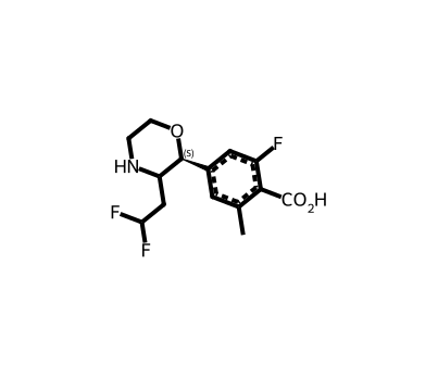 Cc1cc([C@@H]2OCCNC2CC(F)F)cc(F)c1C(=O)O